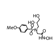 COc1ccc(S(=O)(=O)N(CC(=O)NO)C[C@H](O)CO)cc1